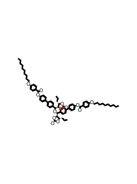 CCCCCCCCCCOc1ccc(C(=O)Oc2ccc(-c3ccc(C(OC(c4ccc(-c5ccc(OC(=O)c6ccc(OCCCCCCCCCC)cc6)cc5)cc4)[C@@H]4OC(=O)O[C@H]4CCC)[C@@H]4OC(=O)O[C@H]4CCC)cc3)cc2)cc1